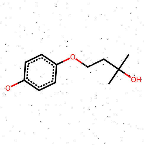 CC(C)(O)CCOc1ccc([O])cc1